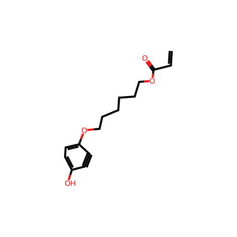 C=CC(=O)OCCCCCCOc1c#cc(O)cc1